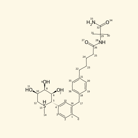 Cc1ccc([C@H]2[C@H](O)[C@H](O)[C@H](O)C[SH]2C)cc1Cc1ccc(CCCCC(=O)NC(C)(C)C(N)=O)cc1